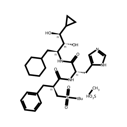 CC(C)(C)S(=O)(=O)C[C@@H](Cc1ccccc1)C(=O)N[C@@H](Cc1cnc[nH]1)C(=O)N[C@@H](CC1CCCCC1)[C@@H](O)[C@@H](O)C1CC1.CS(=O)(=O)O